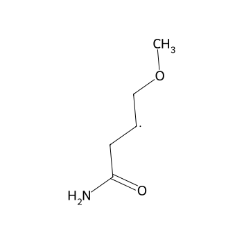 COC[CH]CC(N)=O